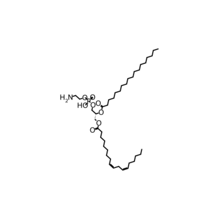 CCCCC/C=C\C/C=C\CCCCCCCC(=O)OC[C@H](COP(=O)(O)OCCN)OC(=O)CCCCCCCCCCCCCCCCC